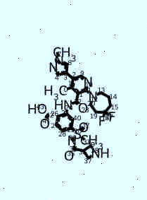 Cc1c(-c2cnn(C)c2)cnc(N2CCCC(F)(F)CC2)c1C(=O)Nc1cccc(S(C)(=O)=NC(=O)C2CNC2)c1.O=CO